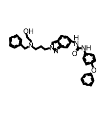 O=C(Nc1ccc(Oc2ccccc2)cc1)Nc1ccc2cn(CCCN(CCO)Cc3ccccc3)nc2c1